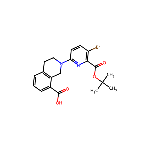 CC(C)(C)OC(=O)c1nc(N2CCc3cccc(C(=O)O)c3C2)ccc1Br